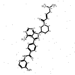 CCCc1ccnc(NC(=O)c2ccc(-c3nn(C4CCCN(C(=O)C=CCN(C)C)C4)c4ncnc(N)c34)cc2)c1